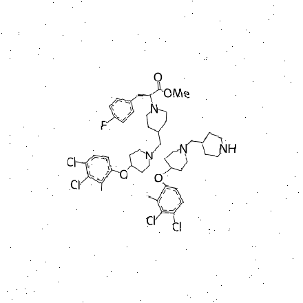 COC(=O)[C@H](Cc1ccc(F)cc1)N1CCC(CN2CCC(Oc3ccc(Cl)c(Cl)c3C)CC2)CC1.Cc1c(OC2CCN(CC3CCNCC3)CC2)ccc(Cl)c1Cl